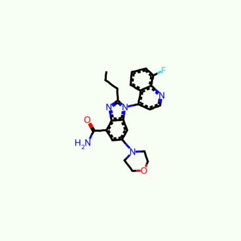 CCCc1nc2c(C(N)=O)cc(N3CCOCC3)cc2n1-c1ccnc2c(F)cccc12